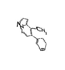 Cc1c(-c2ccccc2)ccn2nccc12